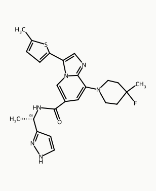 Cc1ccc(-c2cnc3c(N4CCC(C)(F)CC4)cc(C(=O)N[C@@H](C)c4cc[nH]n4)cn23)s1